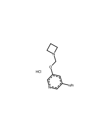 CCCc1cncc(OCN2CCC2)c1.Cl